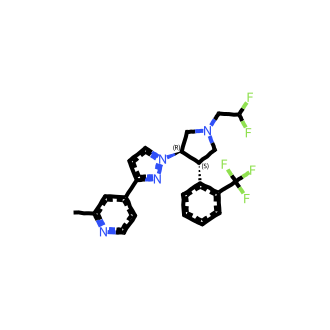 Cc1cc(-c2ccn([C@H]3CN(CC(F)F)C[C@@H]3c3ccccc3C(F)(F)F)n2)ccn1